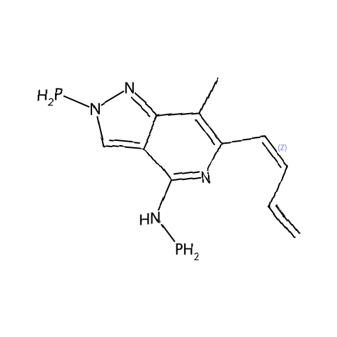 C=C/C=C\c1nc(NP)c2cn(P)nc2c1C